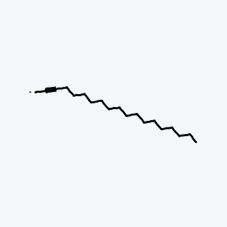 [CH2]C#CCCCCCCCCCCCCCCCC